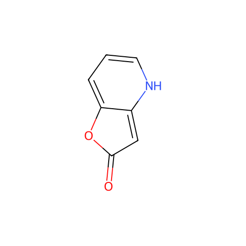 O=c1cc2[nH]cccc-2o1